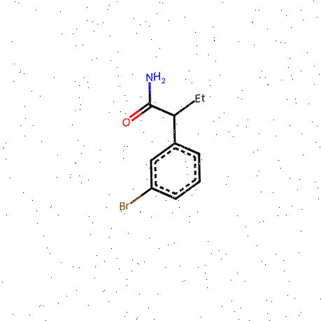 CCC(C(N)=O)c1cccc(Br)c1